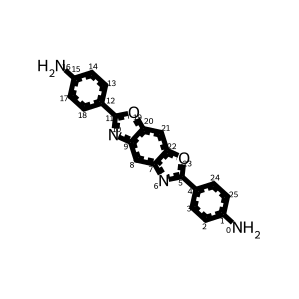 Nc1ccc(-c2nc3cc4nc(-c5ccc(N)cc5)oc4cc3o2)cc1